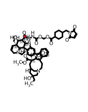 CC[C@]1(O)C[C@@H]2CN(CCc3c([nH]c4ccccc34)[C@@](C(=O)OC)(c3cc4c(cc3OC)N3[C@H]5[C@@](O)(C(=O)N3NC(=O)OCOC(=O)C3CCC(CN6C(=O)C=CC6=O)CC3)[C@H](O)[C@]3(CC)C=CCN6CC[C@]45[C@@H]63)C2)C1